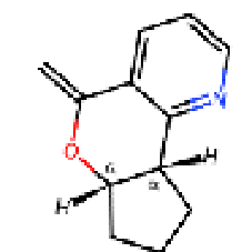 C=C1O[C@H]2CCC[C@H]2c2ncccc21